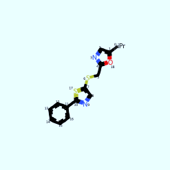 CC(C)c1cnc(CSc2cnc(-c3cc[c]cc3)s2)o1